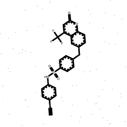 C#Cc1ccc(NS(=O)(=O)c2ccc(Cc3ccc4oc(=O)cc(C(F)(F)F)c4c3)cc2)cc1